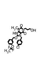 Cn1c2c(c(=O)n(CCCO)c1=O)N(Cc1ccc(Cl)cc1)C(OCc1cccc(OC(C)(F)F)c1)N2